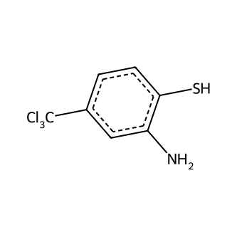 Nc1cc(C(Cl)(Cl)Cl)ccc1S